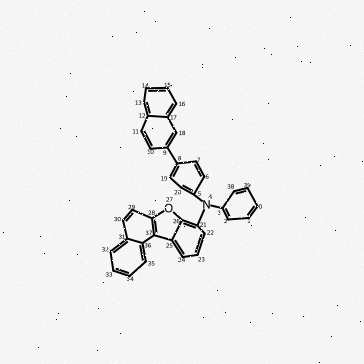 c1ccc(N(c2ccc(-c3ccc4ccccc4c3)cc2)c2cccc3c2oc2ccc4ccccc4c23)cc1